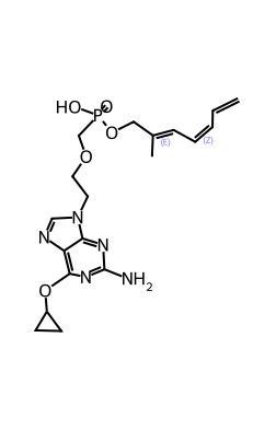 C=C/C=C\C=C(/C)COP(=O)(O)COCCn1cnc2c(OC3CC3)nc(N)nc21